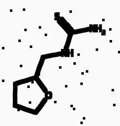 NC(=S)NCC1CCCO1